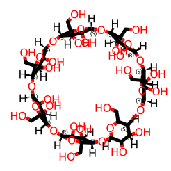 OCC1O[C@@H]2O[C@@H]3C(CO)O[C@@H](O[C@@H]4C(CO)O[C@H](O[C@@H]5C(CO)O[C@@H](O[C@@H]6C(CO)O[C@@H](O[C@@H]7C(CO)O[C@@H](O[C@@H]8C(CO)O[C@H](O[C@H]1[C@H](O)C2O)C(O)[C@H]8O)C(O)[C@H]7O)C(O)[C@@H]6O)C(O)[C@H]5O)C(O)[C@@H]4O)C(O)[C@H]3O